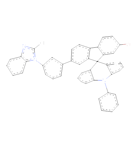 Cc1nc2ccccc2n1-c1cccc(-c2ccc3c(c2)C2(c4cc(Br)ccc4-3)c3ccccc3N(c3ccccc3)c3ccccc32)c1